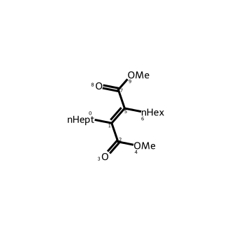 CCCCCCCC(C(=O)OC)=C(CCCCCC)C(=O)OC